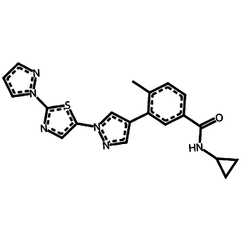 Cc1ccc(C(=O)NC2CC2)cc1-c1cnn(-c2cnc(-n3cccn3)s2)c1